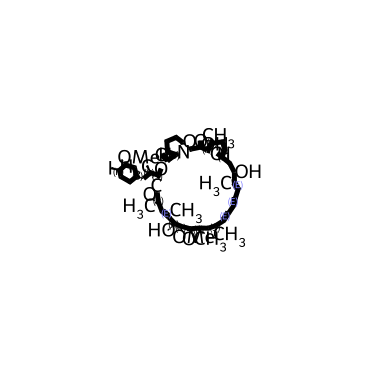 CO[C@@H]1C[C@H](C[C@@H](C)[C@@H]2CC(=O)[C@H](C)/C=C(\C)[C@@H](O)[C@@H](OC)C(=O)[C@H](C)C[C@H](C)/C=C/C=C/C=C(\C)C(O)C[C@@H]3CC[C@@H](C)[C@@](O)(O3)C(=O)C(=O)N3CCCC[C@H]3C(=O)O2)CC[C@H]1I